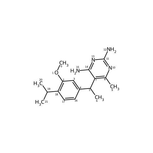 COc1cc(C(C)c2c(C)nc(N)nc2N)ccc1C(C)C